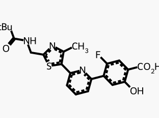 Cc1nc(CNC(=O)C(C)(C)C)sc1-c1cccc(-c2cc(O)c(C(=O)O)cc2F)n1